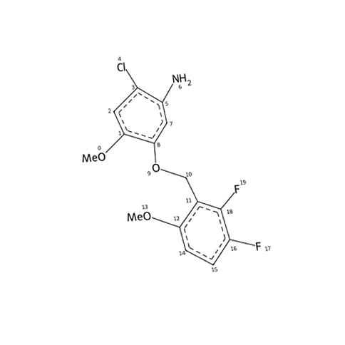 COc1cc(Cl)c(N)cc1OCc1c(OC)ccc(F)c1F